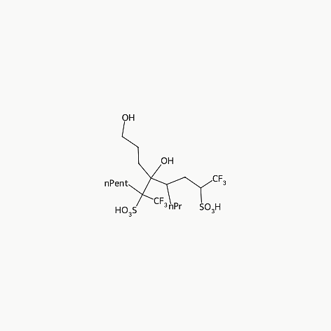 CCCCCC(C(F)(F)F)(C(O)(CCCO)C(CCC)CC(C(F)(F)F)S(=O)(=O)O)S(=O)(=O)O